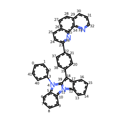 c1ccc(-n2c3ccccc3n3c4ccccc4c(-c4ccc(-c5ccc6ccc7cccnc7c6n5)cc4)c23)cc1